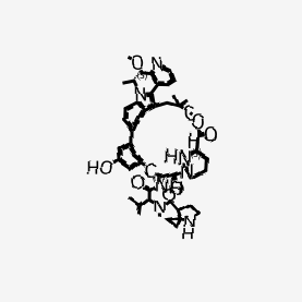 CCn1c(-c2cccnc2[C@H](C)OC)c2c3cc(ccc31)-c1cc(O)cc(c1)C[C@H](NC(=O)C(C(C)C)N(C)C(=O)C1CCNC13CC3)C(=O)N1CCC[C@H](N1)C(=O)OCC(C)(C)C2